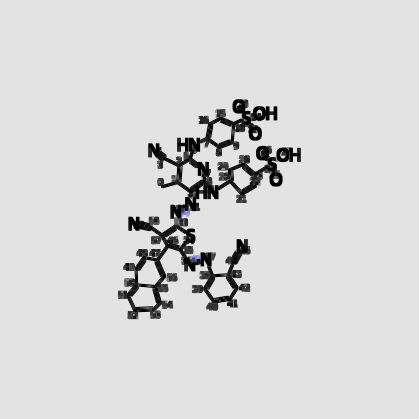 Cc1c(C#N)c(Nc2ccc(S(=O)(=O)O)cc2)nc(Nc2ccc(S(=O)(=O)O)cc2)c1/N=N/c1sc(/N=N/c2ccccc2C#N)c(-c2ccc3ccccc3c2)c1C#N